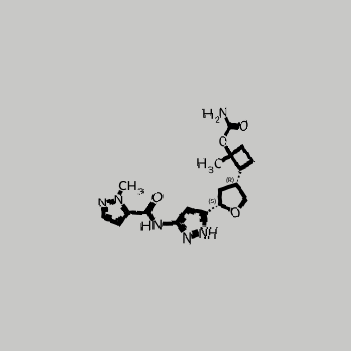 Cn1nccc1C(=O)Nc1cc([C@@H]2C[C@H](C3CCC3(C)OC(N)=O)CO2)[nH]n1